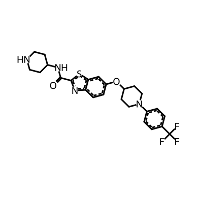 O=C(NC1CCNCC1)c1nc2ccc(OC3CCN(c4ccc(C(F)(F)F)cc4)CC3)cc2s1